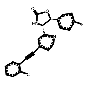 O=C1N[C@@H](c2cc(C#Cc3ccccc3Cl)ccn2)[C@H](c2ccc(F)cc2)O1